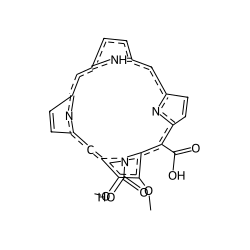 COc1c(OC)c2c(C(=O)O)c3nc(cc4ccc(cc5nc(cc1n2C(=O)O)C=C5)[nH]4)C=C3